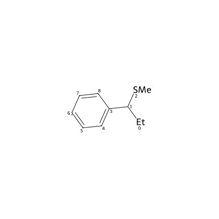 CCC(SC)c1cc[c]cc1